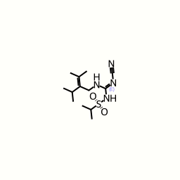 CC(C)=C(CN/C(=N\C#N)NS(=O)(=O)C(C)C)C(C)C